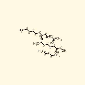 CC(=O)O.CCCCCCC(O)CO.CCCCCCC(O)CO.CCOCC